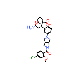 COc1cc(Cl)ccc1C(=O)N1CC2CN(c3cccc(C(CC(N)=O)C4(C(=O)O)CCCC4)c3)CC2C1